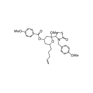 C=CCCCC1CC(OC(=O)c2ccc(OC)cc2)CC(OC)(C2CSC(=O)N2Cc2ccc(OC)cc2)O1